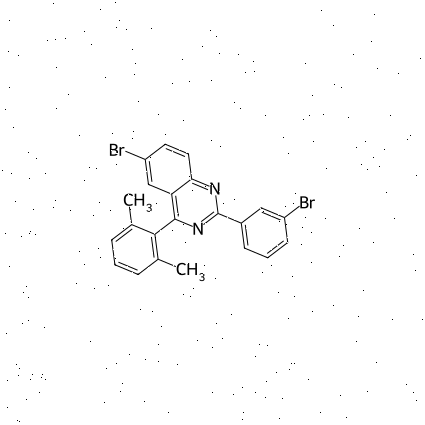 Cc1cccc(C)c1-c1nc(-c2cccc(Br)c2)nc2ccc(Br)cc12